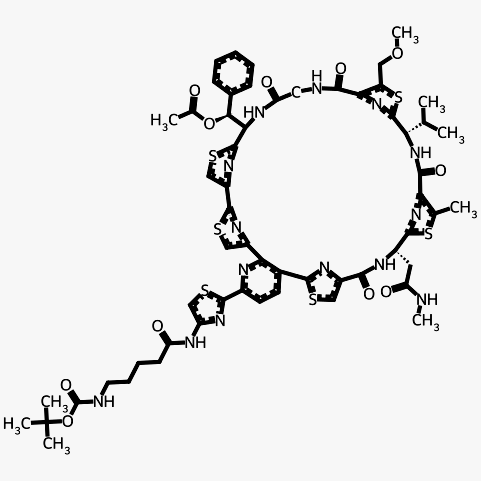 CNC(=O)C[C@@H]1NC(=O)c2csc(n2)-c2ccc(-c3nc(NC(=O)CCCCNC(=O)OC(C)(C)C)cs3)nc2-c2csc(n2)-c2csc(n2)C([C@@H](OC(C)=O)c2ccccc2)NC(=O)CNC(=O)c2nc(sc2COC)[C@H](C(C)C)NC(=O)c2nc1sc2C